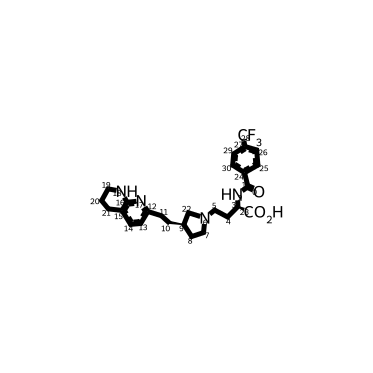 O=C(N[C@H](CCN1CC[C@@H](CCc2ccc3c(n2)NCCC3)C1)C(=O)O)c1ccc(C(F)(F)F)cc1